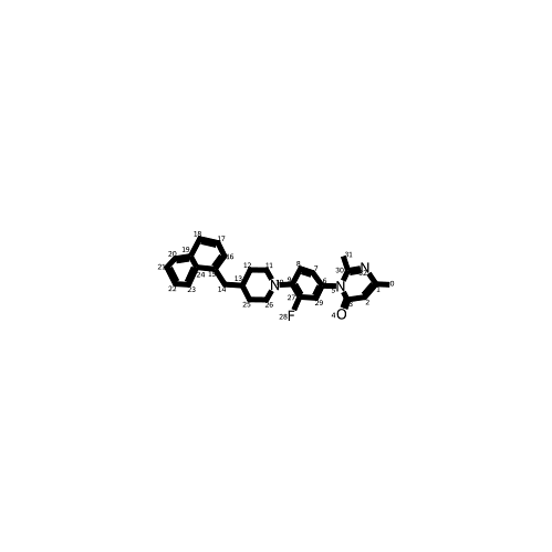 Cc1cc(=O)n(-c2ccc(N3CCC(Cc4cccc5ccccc45)CC3)c(F)c2)c(C)n1